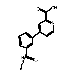 CNC(=O)c1cccc(-c2ccnc(C(=O)O)c2)c1